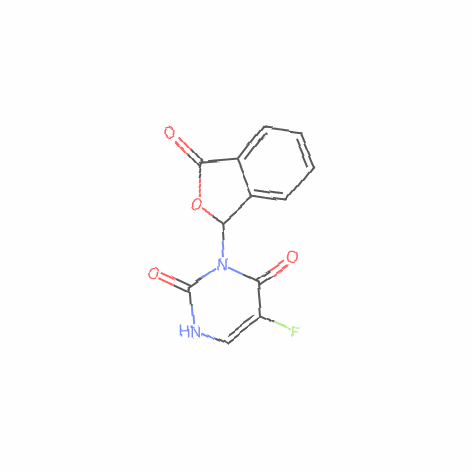 O=C1OC(n2c(=O)[nH]cc(F)c2=O)c2ccccc21